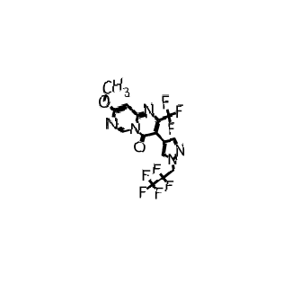 COc1cc2nc(C(F)(F)F)c(-c3cnn(CC(F)(F)C(F)(F)F)c3)c(=O)n2cn1